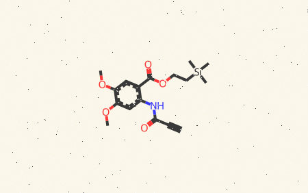 C#CC(=O)Nc1cc(OC)c(OC)cc1C(=O)OCC[Si](C)(C)C